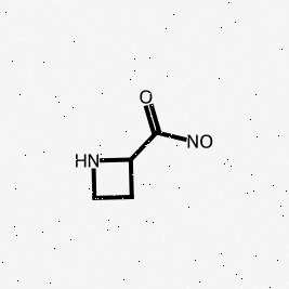 O=NC(=O)C1CCN1